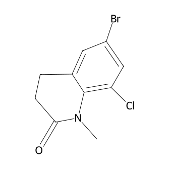 CN1C(=O)CCc2cc(Br)cc(Cl)c21